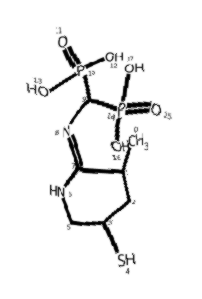 CC1CC(S)CN/C1=N/C(P(=O)(O)O)P(=O)(O)O